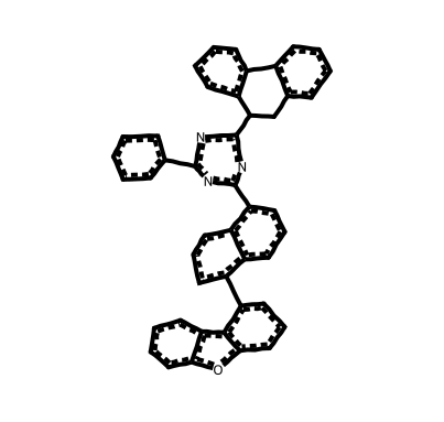 c1ccc(-c2nc(-c3cccc4c(-c5cccc6oc7ccccc7c56)cccc34)nc(C3Cc4ccccc4-c4ccccc43)n2)cc1